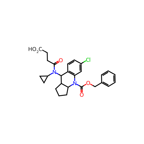 O=C(O)CCC(=O)N(C1CC1)C1c2ccc(Cl)cc2N(C(=O)OCc2ccccc2)C2CCCC21